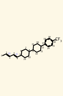 C/C=C/C=C/C1CCC(C2CCC(c3ccc(C(F)(F)F)cc3)CC2)CC1